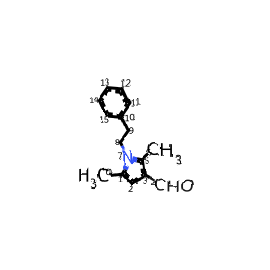 Cc1[c]c(C=O)c(C)n1CCc1ccccc1